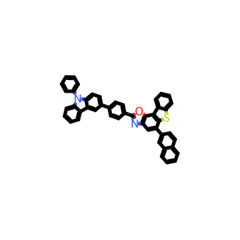 c1ccc(-n2c3ccccc3c3cc(-c4ccc(-c5nc6cc(-c7ccc8ccccc8c7)c7sc8ccccc8c7c6o5)cc4)ccc32)cc1